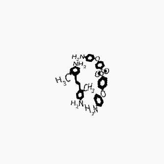 Cc1cc(N)ccc1CCc1ccc(N)cc1C.Nc1ccc(Oc2ccc(S(=O)(=O)c3ccc(Oc4ccc(N)cc4)cc3)cc2)cc1